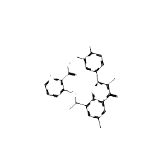 Cc1cc(C(C)Nc2cccnc2C(=O)O)c2oc(-c3ccc(F)c(F)c3)c(C)c(=O)c2c1